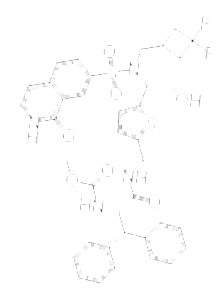 COC(=O)N[C@H](C(=O)NCc1ccc([C@@H](CO)N(CC2CC(F)(F)C2)S(=O)(=O)c2ccc3cc[nH]c(=O)c3c2)s1)C(c1ccccc1)c1ccccc1